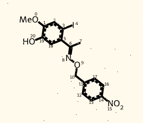 COc1cc(I)c(/C(C)=N/OCc2ccc([N+](=O)[O-])cc2)cc1O